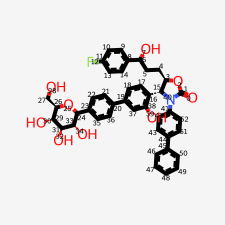 O=C1O[C@H](CCC(O)c2ccc(F)cc2)[C@@H](c2ccc(-c3ccc(C4O[C@H](CO)[C@@H](O)[C@H](O)[C@H]4O)cc3)cc2O)N1c1ccc(-c2ccccc2)cc1